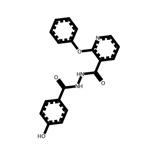 O=C(NNC(=O)c1cccnc1Oc1ccccc1)c1ccc(O)cc1